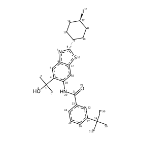 CC(C)(O)c1cc2nc([C@H]3CC[C@H](I)CC3)sc2cc1NC(=O)c1cccc(C(C)(F)F)n1